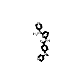 CN(c1ccncc1)c1ccc(C(=O)Nc2cccc(N(P)c3ccncc3)n2)cc1